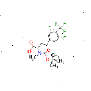 CN(C(=O)OC(C)(C)C)C(CCc1cc(F)c(C(F)(F)F)c(F)c1)C(=O)O